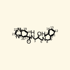 O=C(NCC(O)CN1CCc2ccccc2C1)c1ccc2nccnc2c1